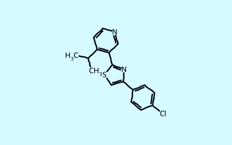 CC(C)c1ccncc1-c1nc(-c2ccc(Cl)cc2)cs1